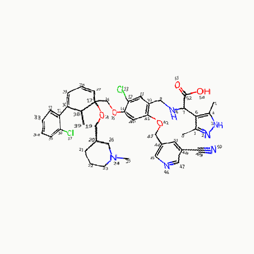 Cc1n[nH]c(C)c1C(NCc1cc(Cl)c(OCC2(OCC3CCCN(C)C3)C=CC=C(c3ccccc3Cl)C2C)cc1OCc1cncc(C#N)c1)C(=O)O